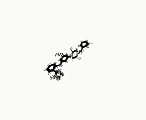 C[C@@H]1CN(c2cc(O)cc(Cc3ccccc3-c3nnn[nH]3)c2)[C@@H](C)CN1Cc1ccccc1